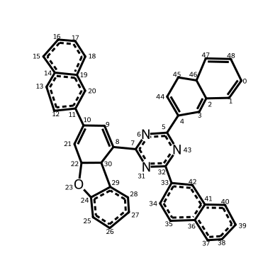 C1=CC2=CC(c3nc(C4=CC(c5ccc6ccccc6c5)=CC5Oc6ccccc6C45)nc(-c4ccc5ccccc5c4)n3)=CCC2C=C1